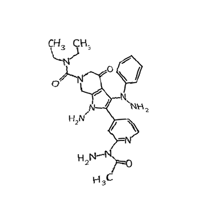 CCN(CC)C(=O)N1CC(=O)c2c(N(N)c3ccccc3)c(-c3ccnc(N(N)C(C)=O)c3)n(N)c2C1